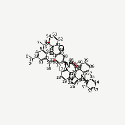 CC(C)c1cc(C(C)C)c(B2c3ccc(N4c5ccccc5C5(c6ccccc6N(c6ccccc6)c6ccccc65)c5ccccc54)cc3OC3C=CC=CC23)c(C(C)C)c1